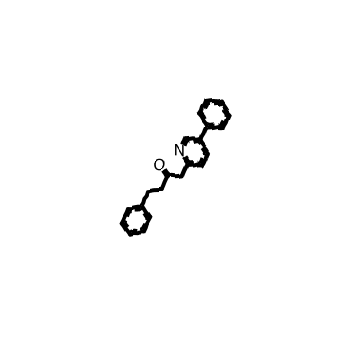 O=C(CCc1ccccc1)Cc1ccc(-c2ccccc2)cn1